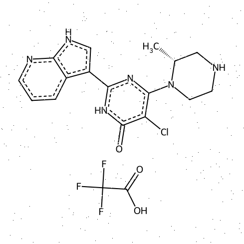 C[C@@H]1CNCCN1c1nc(-c2c[nH]c3ncccc23)[nH]c(=O)c1Cl.O=C(O)C(F)(F)F